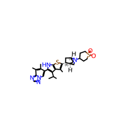 Cc1c(-c2[nH]c3sc([C@@H]4C[C@@H]5C[C@H]4CN5C4CCS(=O)(=O)CC4)c(C)c3c2C(C)C)cn2ncnc2c1C